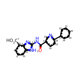 O=C(Nc1nc2c(C(=O)O)cccc2[nH]1)c1ccc(-c2ccccc2)nc1